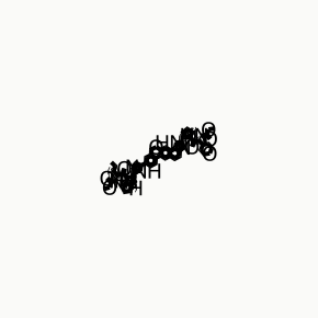 CC[C@H](C)[C@H](NC(=O)OC)C(=O)N1C(c2ncc(-c3ccc4c(c3)COc3cc5c(ccc6nc([C@@H]7CC[C@H](C)N7C(=O)[C@@H](NC(=O)OC)C7CCOCC7)[nH]c65)cc3-4)[nH]2)C[C@@H]2CCC[C@@H]21